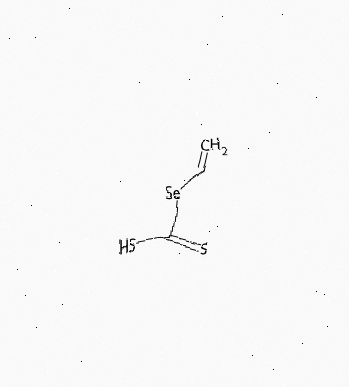 C=C[Se]C(=S)S